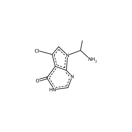 CC(N)n1cc(Cl)c2c(=O)[nH]cnc21